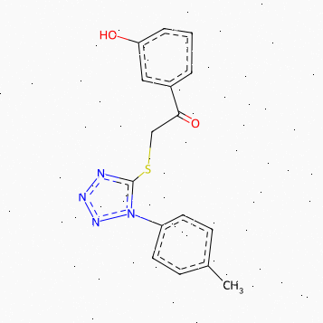 Cc1ccc(-n2nnnc2SCC(=O)c2cccc(O)c2)cc1